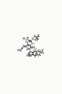 C#C/N=C(\C=C(/N)c1n[nH]c2ccc(OC3(C)CC3)cc12)N1CCN(CCC(F)(F)F)[C@@H](C)C1